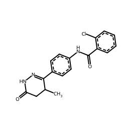 CC1CC(=O)NN=C1c1ccc(NC(=O)c2ccccc2Cl)cc1